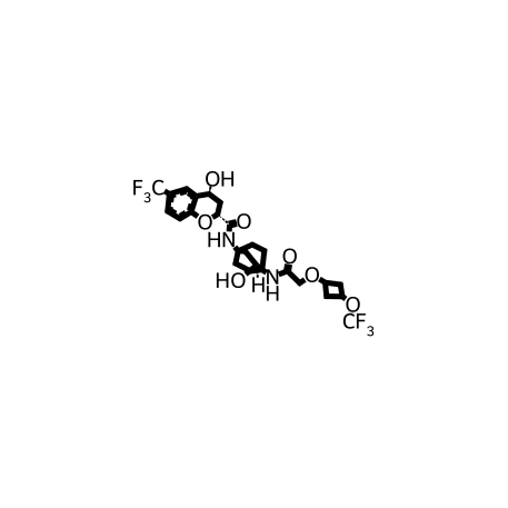 O=C(COC1CC(OC(F)(F)F)C1)NC12CCC(NC(=O)[C@H]3C[C@@H](O)c4cc(C(F)(F)F)ccc4O3)(CC1)C[C@@H]2O